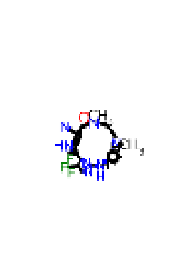 CN1CCCCN(C)[C@H]2CC[C@@H](C2)Nc2ncc(C(F)(F)F)c(n2)-c2c[nH]c3c(C#N)c(ccc23)C1=O